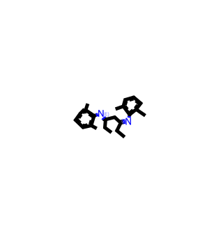 CC/C(C/C(CC)=N/c1c(C)cccc1C)=N/c1c(C)cccc1C